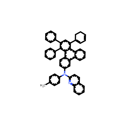 Cc1ccc(N(c2ccc3c(c2)c2ccccc2c2c(C4=CC=CCC4)cc(-c4ccccc4)c(-c4ccccc4)c32)c2ccc3ccccc3n2)cc1